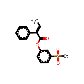 CC=C(C(=O)Oc1cccc(S(=O)(=O)CC)c1)c1ccccc1